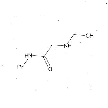 CC(C)NC(=O)CNCO